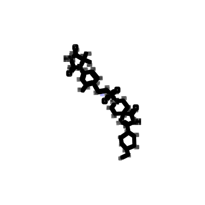 CCC1CCC(C2=NC3(CCN(S(=O)(=O)/C=C/c4ccc(N5C(=O)NC(=O)C5(C)C)cc4C)CC3)C(=O)N2)CC1